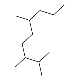 [CH2]CCC(C)CCC(C)C(C)C